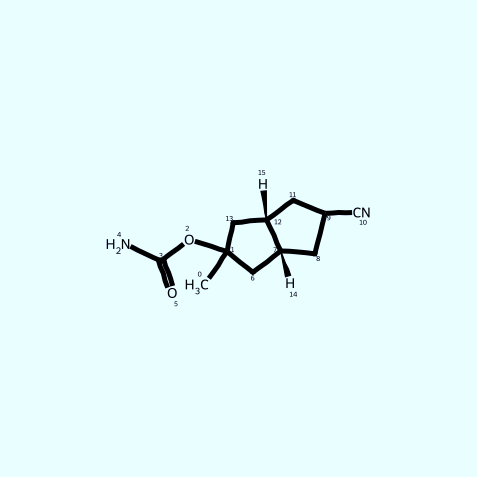 CC1(OC(N)=O)C[C@H]2CC(C#N)C[C@H]2C1